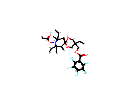 CCC1(COC(=O)c2c(F)c(F)c(F)c(F)c2F)COC2(CC(C)(CC)N(OC(C)=O)C(C)(CC)C2C)OC1